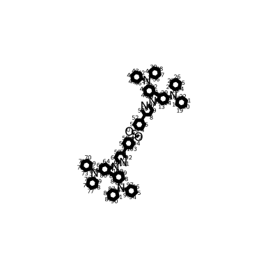 O=S(=O)(c1ccc(-c2ccc(-n3c4ccc(N(c5ccccc5)c5ccccc5)cc4c4cc(N(c5ccccc5)c5ccccc5)ccc43)nc2)cc1)c1ccc(-c2ccc(-n3c4ccc(N(c5ccccc5)c5ccccc5)cc4c4cc(N(c5ccccc5)c5ccccc5)ccc43)nc2)cc1